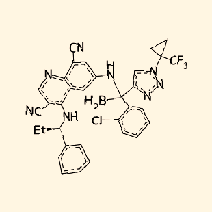 BC(Nc1cc(C#N)c2ncc(C#N)c(N[C@H](CC)c3ccccc3)c2c1)(c1cn(C2(C(F)(F)F)CC2)nn1)c1ccccc1Cl